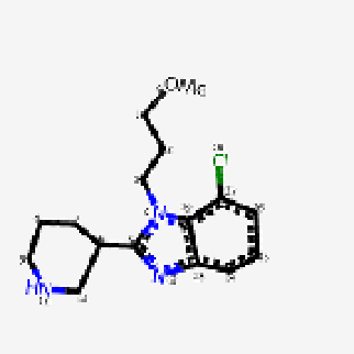 COCCCn1c(C2CCCNC2)nc2cccc(Cl)c21